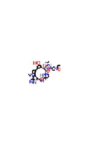 C=CC(=O)N1CCC(C(=O)N(C)[C@H](C(=O)N[C@H]2Cc3cc(O)cc(c3)-c3ccc4c(c3)c(c(-c3cncnc3)n4CC)CC(C)(C)c3cnc(o3)[C@@H]3CCCN(N3)C2=O)C(C)C)C1